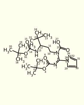 CC(C)(C)OC(=O)N=C(N(CCC(NC(=O)OC(C)(C)C)C(C)(C)C)C(=O)O)n1cccn1